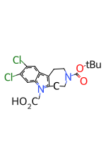 CC(C)(C)OC(=O)N1CCc2c(n(CC(=O)O)c3cc(Cl)c(Cl)cc23)CC1